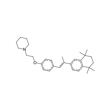 CC(=Cc1ccc(OCCN2CCCCC2)cc1)c1ccc2c(c1)C(C)(C)CCC2(C)C